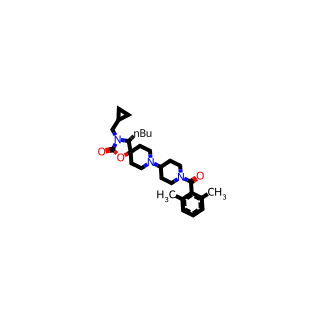 CCCCC1N(CC2CC2)C(=O)OC12CCN(C1CCN(C(=O)c3c(C)cccc3C)CC1)CC2